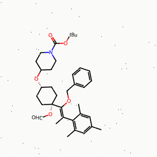 C/C(c1c(C)cc(C)cc1C)=C(/OCc1ccccc1)[C@]1(OC=O)CC[C@@H](OC2CCN(C(=O)OC(C)(C)C)CC2)CC1